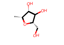 C[C@H]1O[C@@H](CO)C(O)[C@H]1O